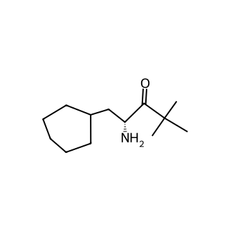 CC(C)(C)C(=O)[C@H](N)CC1CCCCC1